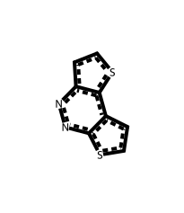 c1cc2c(nnc3ccsc32)s1